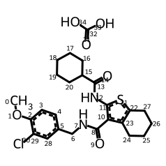 COc1ccc(CNC(=O)c2c(NC(=O)C3CCCCC3)sc3c2CCCC3)cc1Cl.O=C(O)O